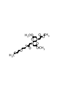 COCCOCCSC(=O)CN(CCN(CC(=O)OC)CC(=O)OC)CC(=O)OC